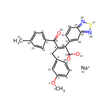 COc1cccc(CC(C(=O)c2ccc(C)cc2)=C(C(=O)[O-])c2ccc3nsnc3c2)c1.[Na+]